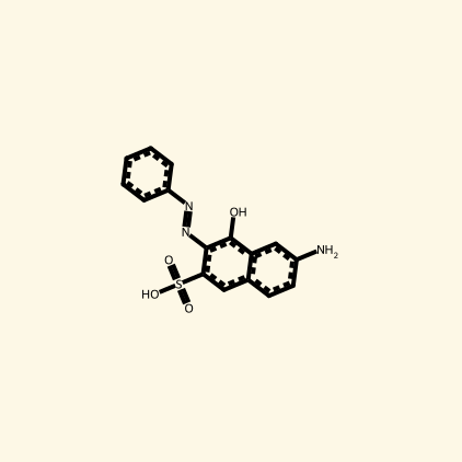 Nc1ccc2cc(S(=O)(=O)O)c(N=Nc3ccccc3)c(O)c2c1